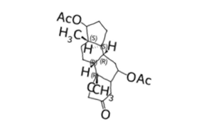 CC(=O)OC1C[C@@H]2[C@@H](CC[C@]3(C)C(OC(C)=O)CC[C@@H]23)[C@@]2(C)CCC(=O)CC12